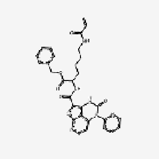 C=CC(=O)NCCCCC(NC(=O)c1sc2nccc3c2c1NC(=O)N3c1ccccn1)C(=O)OCc1ccccc1